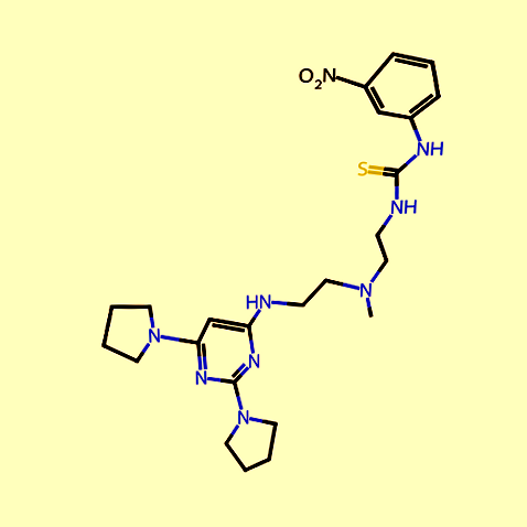 CN(CCNC(=S)Nc1cccc([N+](=O)[O-])c1)CCNc1cc(N2CCCC2)nc(N2CCCC2)n1